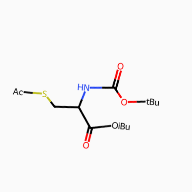 CC(=O)SCC(NC(=O)OC(C)(C)C)C(=O)OCC(C)C